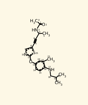 CC(=O)NC(C)C#Cc1cnc(Oc2ccc(NCC(C)C)c(C)c2)s1